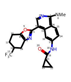 CNc1ncc(-c2nc3c(o2)CCC(C(F)(F)F)C3)c2cc(NC(=O)C3CC3)ccc12